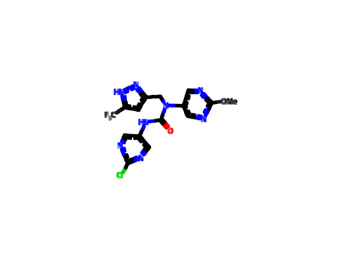 COc1ncc(N(Cc2cc(C(F)(F)F)[nH]n2)C(=O)Nc2cnc(Cl)nc2)cn1